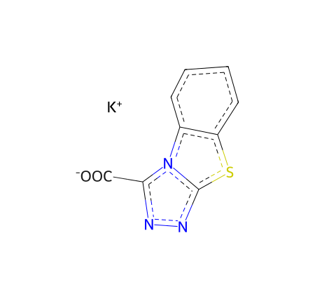 O=C([O-])c1nnc2sc3ccccc3n12.[K+]